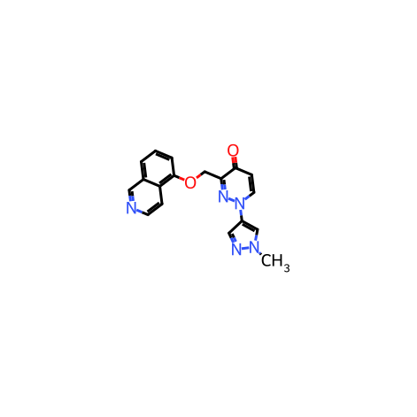 Cn1cc(-n2ccc(=O)c(COc3cccc4cnccc34)n2)cn1